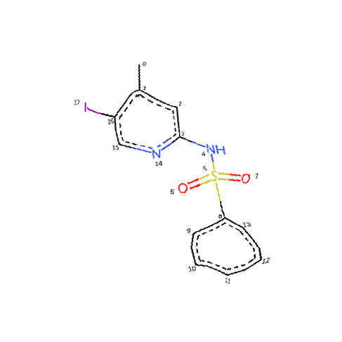 Cc1cc(NS(=O)(=O)c2ccccc2)ncc1I